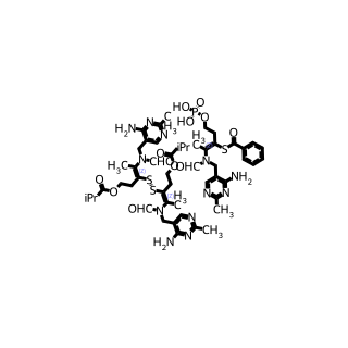 C/C(=C(\CCOC(=O)C(C)C)SS/C(CCOC(=O)C(C)C)=C(/C)N(C=O)Cc1cnc(C)nc1N)N(C=O)Cc1cnc(C)nc1N.C/C(=C(\CCOP(=O)(O)O)SC(=O)c1ccccc1)N(C=O)Cc1cnc(C)nc1N